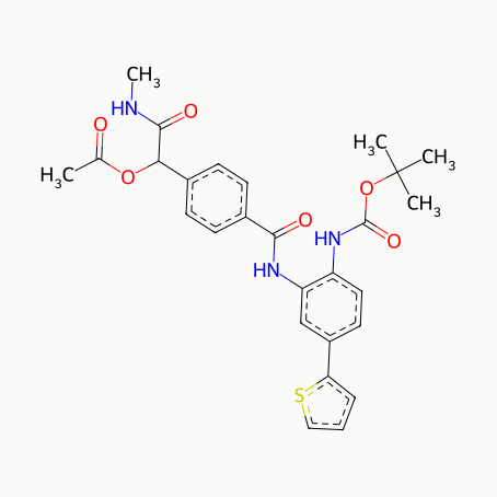 CNC(=O)C(OC(C)=O)c1ccc(C(=O)Nc2cc(-c3cccs3)ccc2NC(=O)OC(C)(C)C)cc1